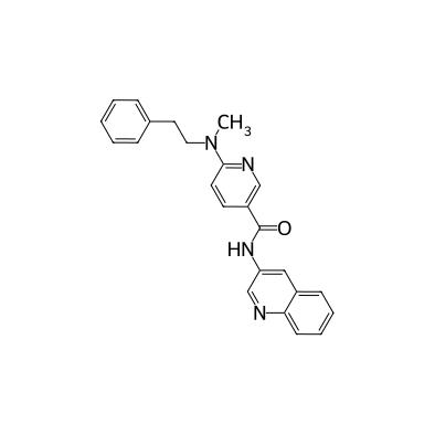 CN(CCc1ccccc1)c1ccc(C(=O)Nc2cnc3ccccc3c2)cn1